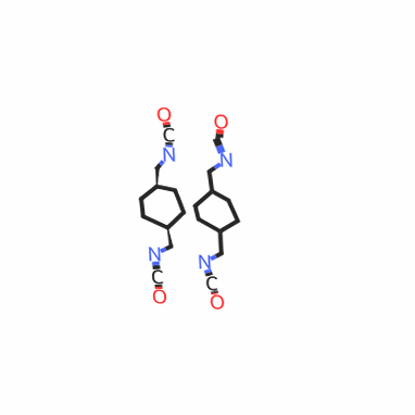 O=C=NCC1CCC(CN=C=O)CC1.O=C=NC[C@H]1CC[C@@H](CN=C=O)CC1